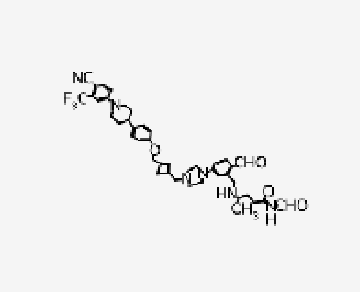 CC(CCC(=O)NC=O)NCc1cc(N2CCN(CC3CC(COc4ccc(C5CCN(c6ccc(C#N)c(C(F)(F)F)c6)CC5)cc4)C3)CC2)ccc1C=O